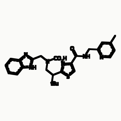 Cc1ccnc(CNC(=O)c2csc(C(CN(Cc3nc4ccccc4[nH]3)C(=O)O)C(C)(C)C)n2)c1